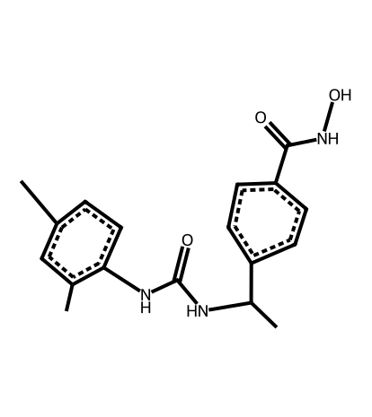 Cc1ccc(NC(=O)NC(C)c2ccc(C(=O)NO)cc2)c(C)c1